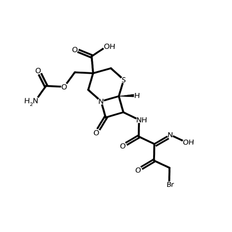 NC(=O)OCC1(C(=O)O)CS[C@@H]2C(NC(=O)C(=NO)C(=O)CBr)C(=O)N2C1